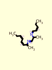 C=C(/C=C\C=C/CC)/N=C/C(C)/N=C\C=C/CC